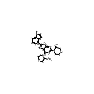 CC(C)C1COCCN1c1nc(N2CCOCC2C)c2nc(-c3cccc4[nH]ccc34)[nH]c2n1